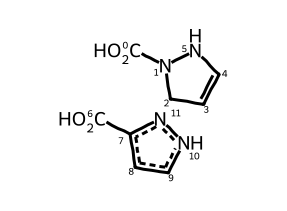 O=C(O)N1CC=CN1.O=C(O)c1cc[nH]n1